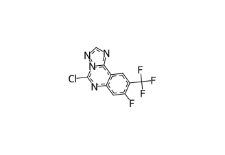 Fc1cc2nc(Cl)n3ncnc3c2cc1C(F)(F)F